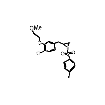 COCCOc1cc(CC2CN2S(=O)(=O)c2ccc(C)cc2)ccc1Cl